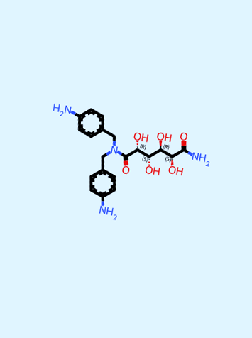 NC(=O)[C@@H](O)[C@H](O)[C@H](O)[C@@H](O)C(=O)N(Cc1ccc(N)cc1)Cc1ccc(N)cc1